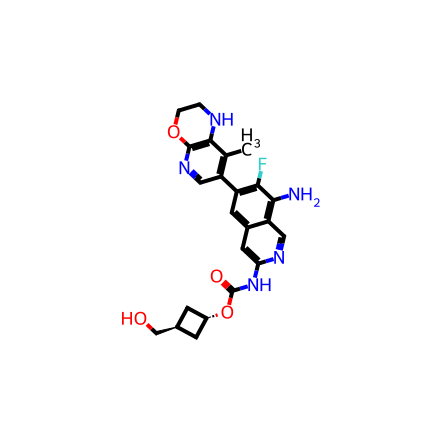 Cc1c(-c2cc3cc(NC(=O)O[C@H]4C[C@H](CO)C4)ncc3c(N)c2F)cnc2c1NCCO2